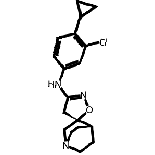 Clc1cc(NC2=NO[C@@]3(C2)CN2CCC3CC2)ccc1C1CC1